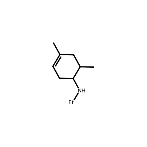 CCNC1CC=C(C)CC1C